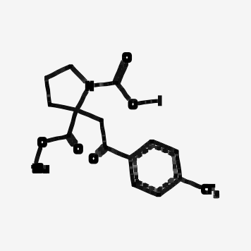 CC(C)(C)OC(=O)C1(CC(=O)c2ccc(C(F)(F)F)cc2)CCCN1C(=O)OI